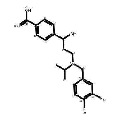 CC(C)N(CCC(O)c1ccc(C(=O)O)cc1)Cc1ccc(F)c(F)c1